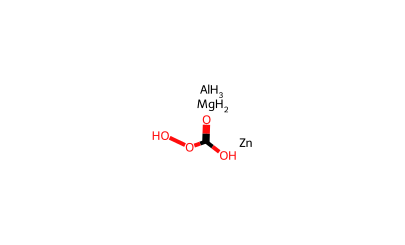 O=C(O)OO.[AlH3].[MgH2].[Zn]